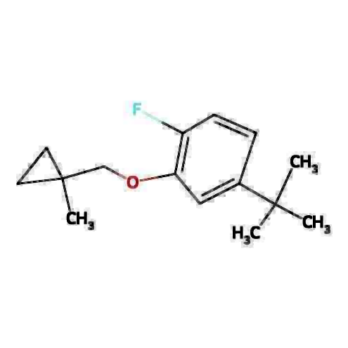 CC1(COc2cc(C(C)(C)C)ccc2F)CC1